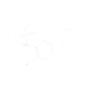 CS(=O)(=O)Nc1cc(S(C)(=O)=O)ccc1O